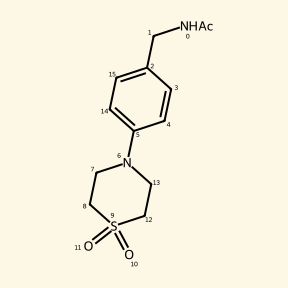 CC(=O)NCc1ccc(N2CCS(=O)(=O)CC2)cc1